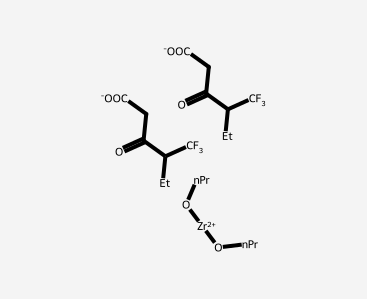 CCC(C(=O)CC(=O)[O-])C(F)(F)F.CCC(C(=O)CC(=O)[O-])C(F)(F)F.CCC[O][Zr+2][O]CCC